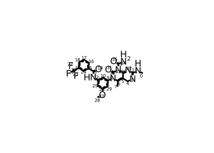 CNC1=NCC2=C(C)N(c3cc(NC(=O)c4cccc(C(F)(F)F)c4)cc(OC)c3)C(=O)N(C(N)=O)C2=N1